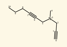 C#CCN(C)CC#CCCC